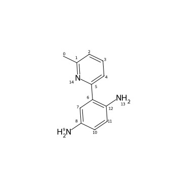 Cc1cccc(-c2cc(N)ccc2N)n1